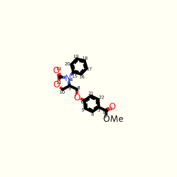 COC(=O)c1ccc(OCC2COC(=O)N2c2ccccc2)cc1